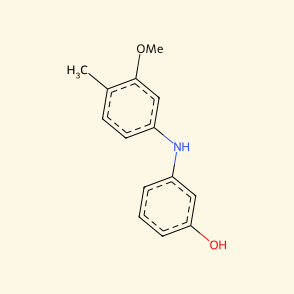 COc1cc(Nc2cccc(O)c2)ccc1C